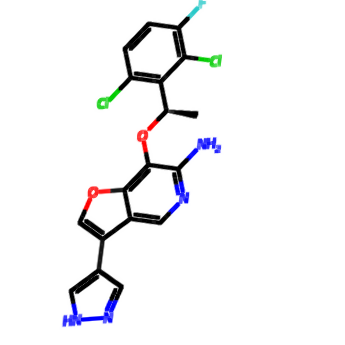 C[C@@H](Oc1c(N)ncc2c(-c3cn[nH]c3)coc12)c1c(Cl)ccc(F)c1Cl